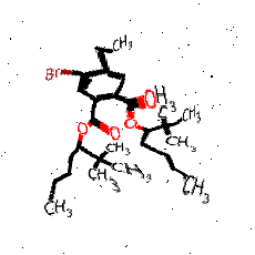 CCCCC(OC(=O)c1cc(Br)c(CC)cc1C(=O)OC(CCCC)C(C)(C)C)C(C)(C)C